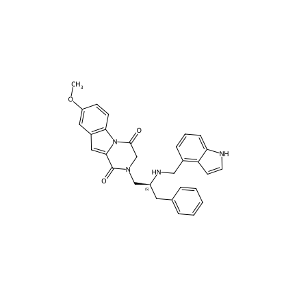 COc1ccc2c(c1)cc1n2C(=O)CN(C[C@H](Cc2ccccc2)NCc2cccc3[nH]ccc23)C1=O